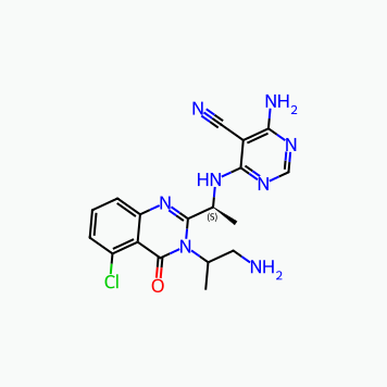 CC(CN)n1c([C@H](C)Nc2ncnc(N)c2C#N)nc2cccc(Cl)c2c1=O